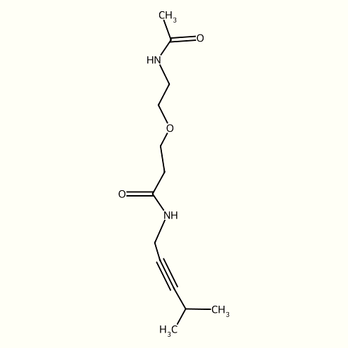 CC(=O)NCCOCCC(=O)NCC#CC(C)C